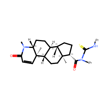 CC(C)NC(=S)N(C(=O)[C@H]1CC[C@H]2[C@@H]3CC[C@H]4N(C)C(=O)C=C[C@]4(C)[C@H]3CC[C@]12C)C(C)C